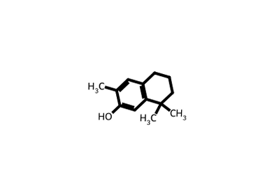 Cc1cc2c(cc1O)C(C)(C)CCC2